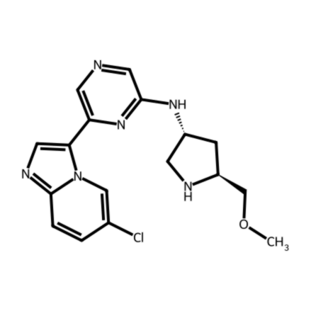 COC[C@@H]1C[C@@H](Nc2cncc(-c3cnc4ccc(Cl)cn34)n2)CN1